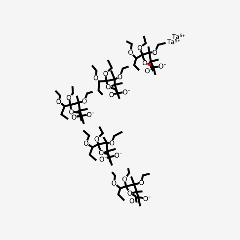 CCOC(CC)C(OCC)(OCC)C(C)(OCC)C(C)(C)C(C)([O-])[O-].CCOC(CC)C(OCC)(OCC)C(C)(OCC)C(C)(C)C(C)([O-])[O-].CCOC(CC)C(OCC)(OCC)C(C)(OCC)C(C)(C)C(C)([O-])[O-].CCOC(CC)C(OCC)(OCC)C(C)(OCC)C(C)(C)C(C)([O-])[O-].CCOC(CC)C(OCC)(OCC)C(C)(OCC)C(C)(C)C(C)([O-])[O-].[Ta+5].[Ta+5]